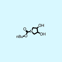 CCCCOC(=O)N1CC(O)C(O)C1